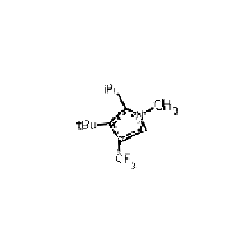 CC(C)c1c(C(C)(C)C)c(C(F)(F)F)cn1C